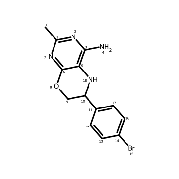 Cc1nc(N)c2c(n1)OCC(c1ccc(Br)cc1)N2